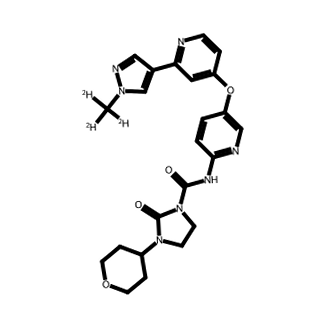 [2H]C([2H])([2H])n1cc(-c2cc(Oc3ccc(NC(=O)N4CCN(C5CCOCC5)C4=O)nc3)ccn2)cn1